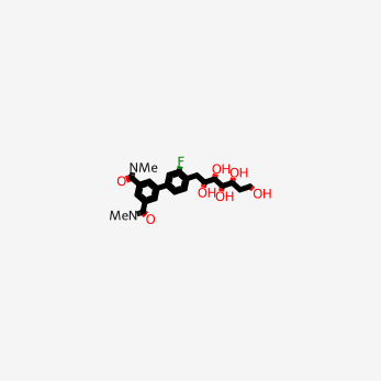 CNC(=O)c1cc(C(=O)NC)cc(-c2ccc(CC(O)C(O)C(O)C(O)CCO)c(F)c2)c1